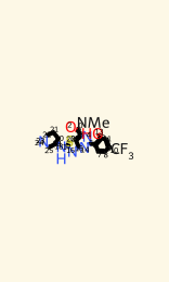 CNC(=O)c1nc(-c2ccc(C(F)(F)F)cc2O)nc2nc(N[C@@H]3CCCN(C)C3)sc12